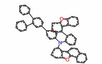 c1ccc(-c2ccc(-c3ccc(N(c4ccccc4-c4cccc5oc6ccccc6c45)c4cccc5oc6c7ccccc7ccc6c45)cc3)cc2-c2ccccc2)cc1